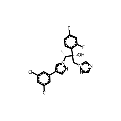 C[C@@H](n1cc(-c2cc(Cl)cc(Cl)c2)cn1)[C@](O)(Cn1cncn1)c1ccc(F)cc1F